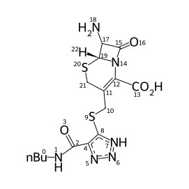 CCCCNC(=O)c1nn[nH]c1SCC1=C(C(=O)O)N2C(=O)C(N)[C@H]2SC1